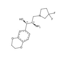 N[C@H](CN1CCC(F)(F)C1)[C@H](O)c1ccc2c(c1)OCCO2